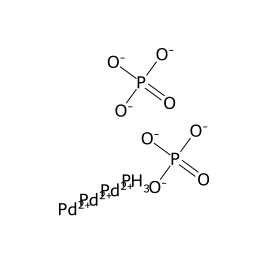 O=P([O-])([O-])[O-].O=P([O-])([O-])[O-].P.[Pd+2].[Pd+2].[Pd+2]